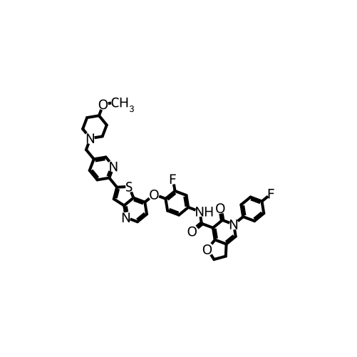 COC1CCN(Cc2ccc(-c3cc4nccc(Oc5ccc(NC(=O)c6c7c(cn(-c8ccc(F)cc8)c6=O)CCO7)cc5F)c4s3)nc2)CC1